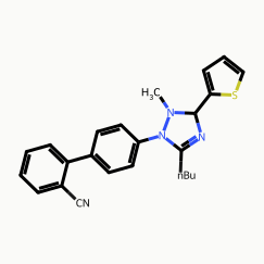 CCCCC1=NC(c2cccs2)N(C)N1c1ccc(-c2ccccc2C#N)cc1